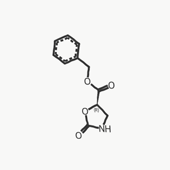 O=C1NC[C@H](C(=O)OCc2ccccc2)O1